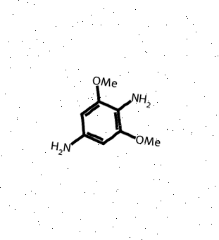 COc1cc(N)cc(OC)c1N